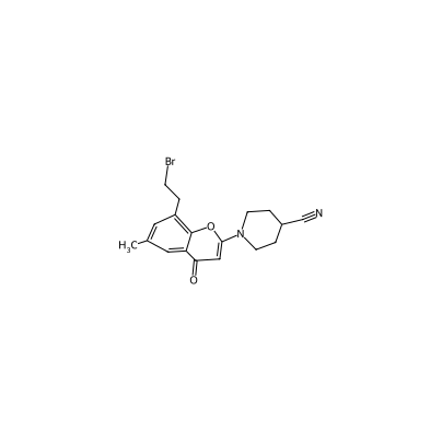 Cc1cc(CCBr)c2oc(N3CCC(C#N)CC3)cc(=O)c2c1